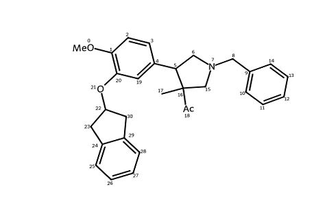 COc1ccc(C2CN(Cc3ccccc3)CC2(C)C(C)=O)cc1OC1Cc2ccccc2C1